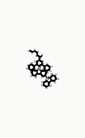 C=C/C=C\C=C(/C)c1cc(-c2ccccc2)c(-n2c3ccccc3c3cc(-n4c5ccccc5c5ccccc54)ccc32)c(-c2ccccc2)c1